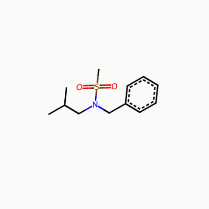 CC(C)CN(Cc1ccccc1)S(C)(=O)=O